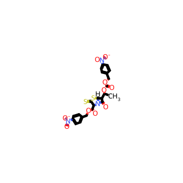 CC(OC(=O)OCc1ccc([N+](=O)[O-])cc1)C1C(=O)N2C(C(=O)OCc3ccc([N+](=O)[O-])cc3)C(=S)S[C@@H]12